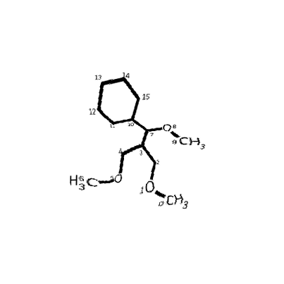 COCC(COC)C(OC)C1CCCCC1